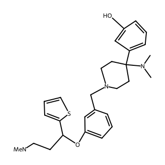 CNCCC(Oc1cccc(CN2CCC(c3cccc(O)c3)(N(C)C)CC2)c1)c1cccs1